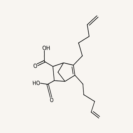 C=CCCCC1=C(CCCC=C)C2CC1C(C(=O)O)C2C(=O)O